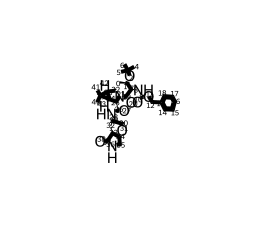 C[C@@H](OC(C)(C)C)[C@H](NC(=O)OCc1ccccc1)C(=O)N1C[C@H]2[C@@H]([C@H]1C(=O)N[C@H](C=O)C[C@@H]1CCNC1=O)C2(C)C